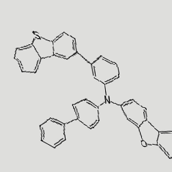 c1ccc(-c2ccc(N(c3cccc(-c4ccc5sc6ccccc6c5c4)c3)c3ccc4c(c3)oc3ccccc34)cc2)cc1